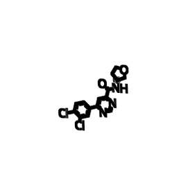 O=C(N[C@@H]1CCOC1)c1cc(-c2ccc(Cl)c(Cl)c2)ncn1